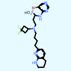 O=C(O)C(CCN(CCCCc1ccc2c(n1)NCCC2)C1CC(F)(F)C1)Nc1ncncc1Br